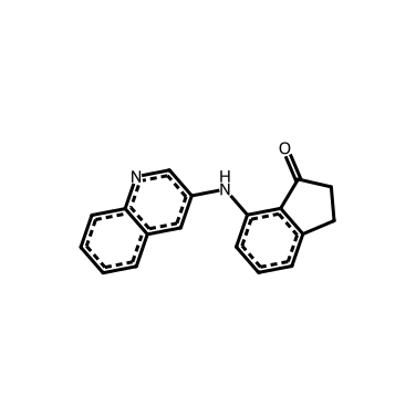 O=C1CCc2cccc(Nc3cnc4ccccc4c3)c21